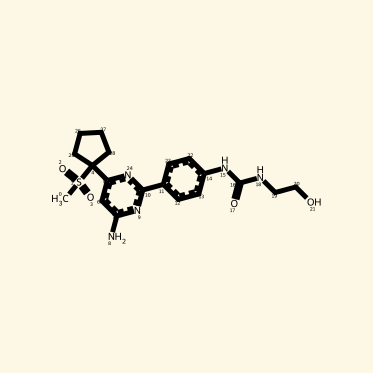 CS(=O)(=O)C1(c2cc(N)nc(-c3ccc(NC(=O)NCCO)cc3)n2)CCCC1